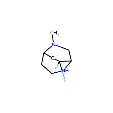 CN1CC2NCCC1CC2(F)F